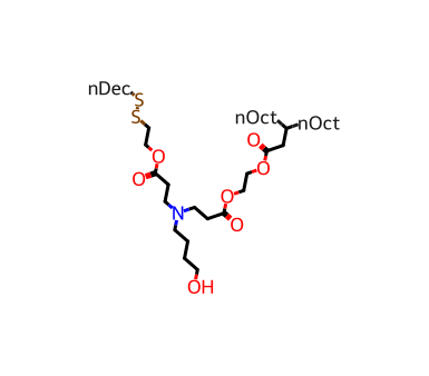 CCCCCCCCCCSSCCOC(=O)CCN(CCCCO)CCC(=O)OCCOC(=O)CC(CCCCCCCC)CCCCCCCC